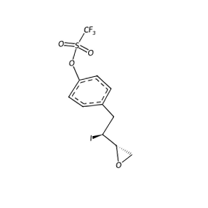 O=S(=O)(Oc1ccc(C[C@H](I)[C@@H]2CO2)cc1)C(F)(F)F